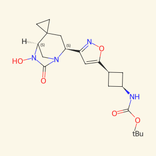 CC(C)(C)OC(=O)N[C@H]1C[C@@H](c2cc([C@@H]3CC4(CC4)[C@H]4CN3C(=O)N4O)no2)C1